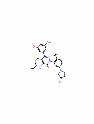 CCC1CCc2c(-c3cc(OC)cc(OC)c3)nn(-c3cc(N4CC[C@H](O)C4)ccc3C(F)(F)F)c(=O)c2N1